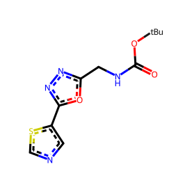 CC(C)(C)OC(=O)NCc1nnc(-c2cncs2)o1